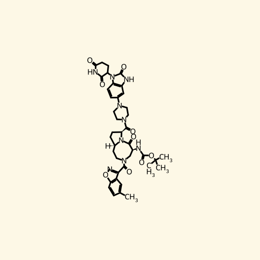 Cc1ccc2onc(C(=O)N3CC[C@H]4CC[C@@H](C(=O)N5CCN(c6ccc7c(c6)[nH]c(=O)n7C6CCC(=O)NC6=O)CC5)N4C(=O)[C@@H](NC(=O)OC(C)(C)C)C3)c2c1